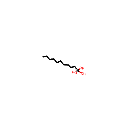 CCCCCCCCCC[Si](O)(O)O